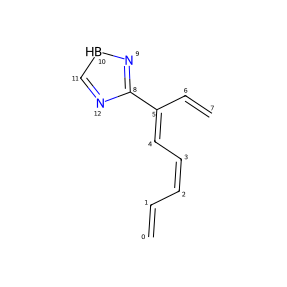 C=C/C=C\C=C(/C=C)C1=NBC=N1